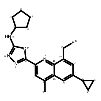 Cc1cc(-c2nnc(NC3CCCC3)o2)nc2c(CF)cc(C3CC3)cc12